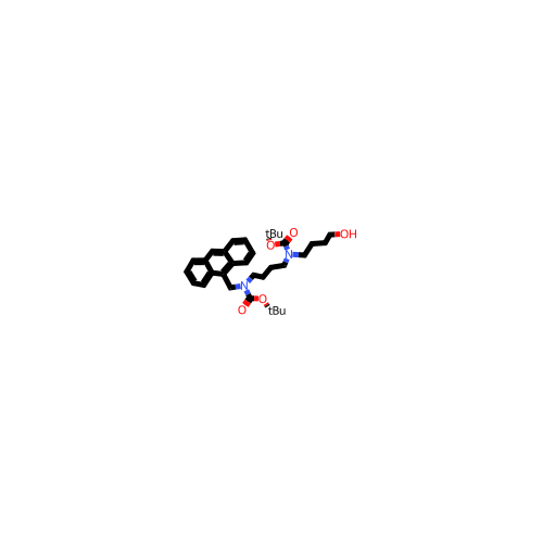 CC(C)(C)OC(=O)N(CCCCO)CCCCN(Cc1c2ccccc2cc2ccccc12)C(=O)OC(C)(C)C